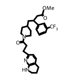 COC(=O)CC(CC1CCN(C(=O)CCc2ccc3c(n2)NCCC3)CC1)c1cccc(C(F)(F)F)c1